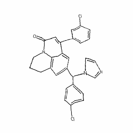 O=c1cc(-c2cccc(Cl)c2)c2cc(C(c3ccc(Cl)cc3)n3ccnc3)cc3c2n1CCC3